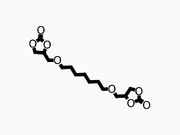 O=C1OCC(COCCCCCCCOCC2COC(=O)O2)O1